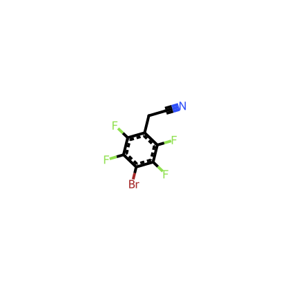 N#CCc1c(F)c(F)c(Br)c(F)c1F